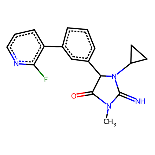 CN1C(=N)N(C2CC2)C(c2cccc(-c3cccnc3F)c2)C1=O